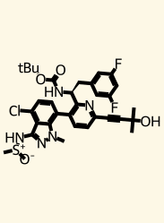 Cn1nc(N[S+](C)[O-])c2c(Cl)ccc(-c3ccc(C#CC(C)(C)O)nc3[C@H](Cc3cc(F)cc(F)c3)NC(=O)OC(C)(C)C)c21